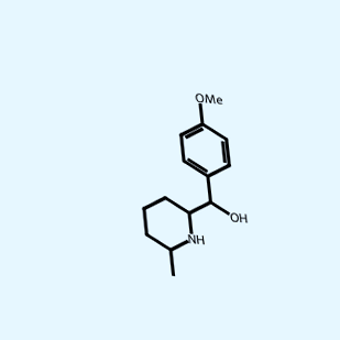 COc1ccc(C(O)C2CCCC(C)N2)cc1